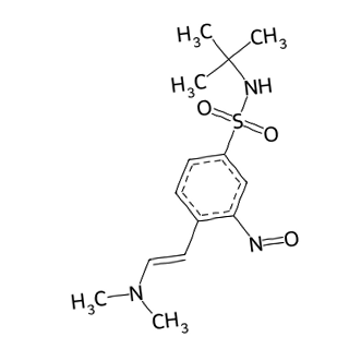 CN(C)/C=C/c1ccc(S(=O)(=O)NC(C)(C)C)cc1N=O